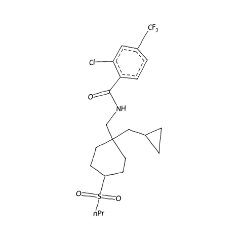 CCCS(=O)(=O)C1CCC(CNC(=O)c2ccc(C(F)(F)F)cc2Cl)(CC2CC2)CC1